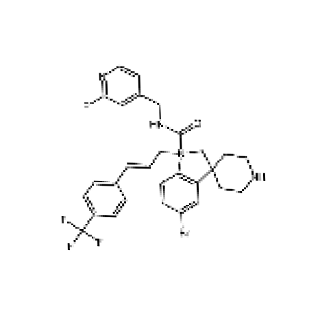 O=C(NCc1ccnc(F)c1)[N+]1(C/C=C/c2ccc(C(F)(F)F)cc2)CC2(CCNCC2)c2cc(Br)ccc21